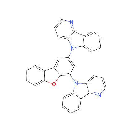 c1ccc2c(c1)oc1c(-n3c4ccccc4c4ncccc43)cc(-n3c4ccccc4c4ncccc43)cc12